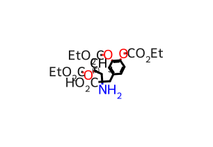 CCOC(=O)Oc1ccc(CC(N)(C[C@H](C)OC(=O)OCC)C(=O)O)cc1OC(=O)OCC